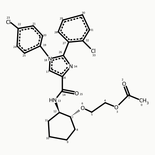 CC(=O)OCCO[C@@H]1CCCC[C@H]1NC(=O)c1cn(-c2ccc(Cl)cc2)c(-c2ccccc2Cl)n1